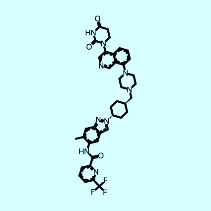 Cc1cc2nn([C@H]3CC[C@H](CN4CCN(c5cccc6c(N7CCC(=O)NC7=O)cncc56)CC4)CC3)cc2cc1NC(=O)c1cccc(C(F)(F)F)n1